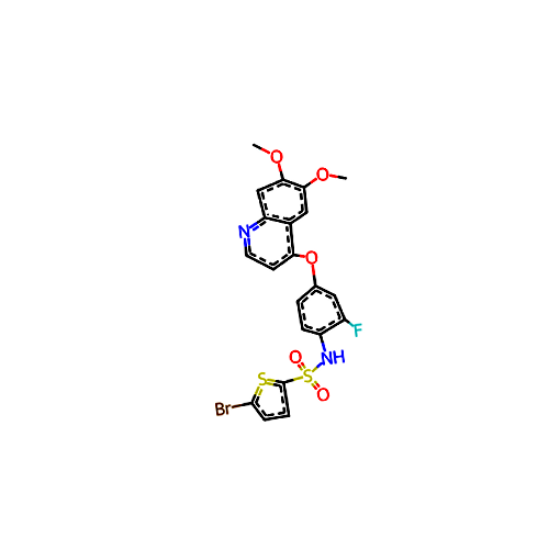 COc1cc2nccc(Oc3ccc(NS(=O)(=O)c4ccc(Br)s4)c(F)c3)c2cc1OC